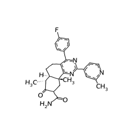 Cc1cc(-c2nc(-c3ccc(F)cc3)c3c(n2)[C@]2(C)CC(C(N)=O)C(=O)[C@H](C)[C@H]2CC3)ccn1